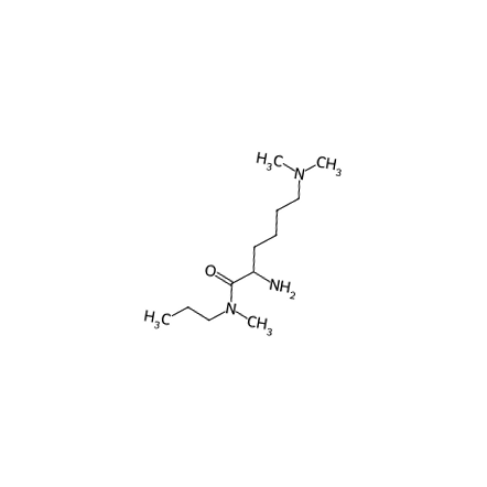 CCCN(C)C(=O)C(N)CCCCN(C)C